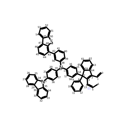 C=CC1=C(/C=C\C)C(c2ccccc2)(c2ccc(N(c3ccc(-n4c5ccccc5c5ccccc54)cc3)c3cccc(-c4cccc5c4sc4ccccc45)c3)cc2)c2ccccc21